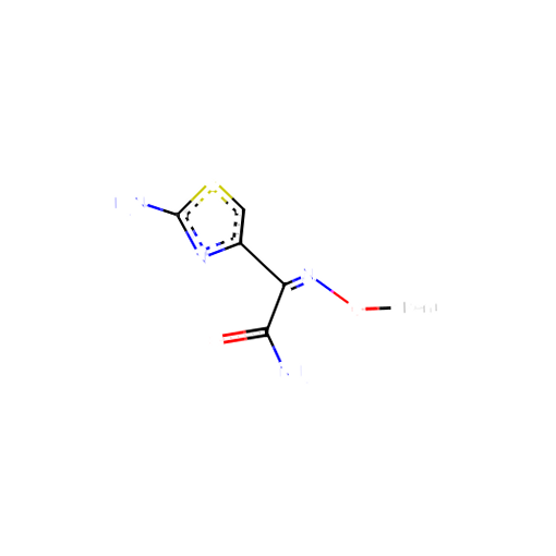 CCCCCON=C(C(N)=O)c1csc(N)n1